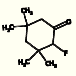 CC1(C)CC(=O)C(F)C(C)(C)C1